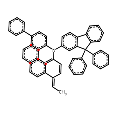 C\C=C(/C=C\C(=C\c1ccccc1)N(c1ccc(-c2ccccc2)cc1)c1ccc2c(c1)C(c1ccccc1)(c1ccccc1)c1ccccc1-2)c1ccccc1